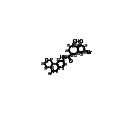 CN(Cc1ccc(NC(=O)C2=Cc3cc(Br)ccc3N(C=O)CC2)cc1)C1CCOCC1